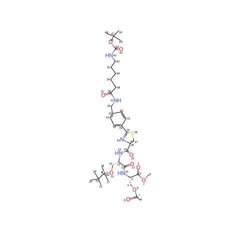 COC(=O)[C@H](COC(C)=O)NC(=O)[C@H](CO[Si](C)(C)C(C)(C)C)NC(=O)c1csc(-c2ccc(CNC(=O)CCCCCNC(=O)OC(C)(C)C)cc2)n1